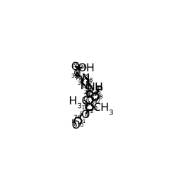 Cc1cc(OCC2CCOCC2)cc(C)c1-c1ccc(F)c2c1CC[C@H]2Nc1cnc([C@@H]2C[C@H]2C(=O)O)cn1